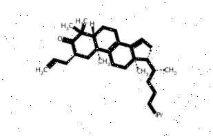 C=CC[C@@H]1C[C@]2(C)C3=C(CC[C@H]2C(C)(C)C1=O)C1=CC[C@H]([C@H](C)CCCC(C)C)[C@@]1(C)CC3